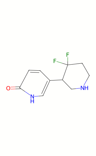 O=c1ccc(C2CNCCC2(F)F)c[nH]1